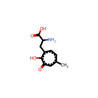 Cc1ccc(CC(N)C(=O)O)c(O)c(=O)c1